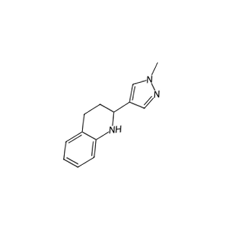 Cn1cc(C2CCc3ccccc3N2)cn1